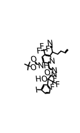 C=CCCC(C#N)c1nc(-c2nnc(C(O)(c3cccc(I)c3)C(F)(F)F)o2)c(NC(=O)OC(C)(C)C)cc1C(F)(F)F